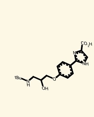 CC(C)(C)NCC(O)COc1ccc(-c2nc(C(=O)O)c[nH]2)cc1